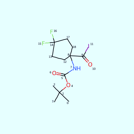 CC(C)(C)OC(=O)NC1(C(=O)I)CCC(F)(F)CC1